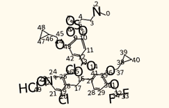 CN(C)CCS(=O)(=O)Oc1ccc(C(=O)OC(Cc2c(Cl)c[n+]([O-])cc2Cl)c2ccc(OC(F)F)c(OCC3CC3)c2)cc1OCC1CC1.Cl